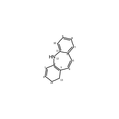 C1=CC2=C(C=Cc3ccccc3N2)CC1